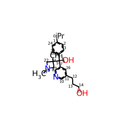 CC(C)c1ccc(C(O)(c2cncc(CCCO)c2)C2(C)CN(C)C2)cc1